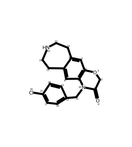 O=C1COc2cc3c(cc2N1Cc1ccc(Cl)cc1)CCNCC3